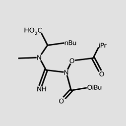 CCCCC(C(=O)O)N(C)C(=N)N(OC(=O)C(C)C)C(=O)OCC(C)C